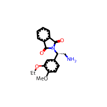 CCOc1cc([C@@H](CN)N2C(=O)c3ccccc3C2=O)ccc1OC